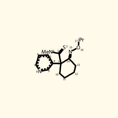 CNC(=S)C1(c2cccnc2)CCCCC1=NOC(C)C